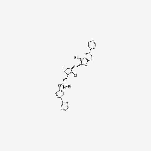 CCN1/C(=C\C=C2\CCC(/C=C/c3oc4ccc(-c5ccccc5)cc4[n+]3CC)=C2Cl)Oc2ccc(-c3ccccc3)cc21.[I-]